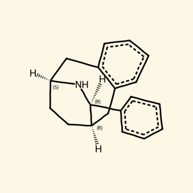 c1ccc([C@@H]2N[C@H]3CC[C@@H]2Cc2ccccc2C3)cc1